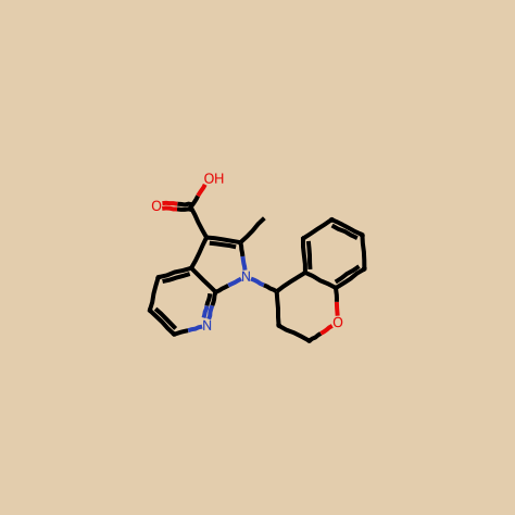 Cc1c(C(=O)O)c2cccnc2n1C1CCOc2ccccc21